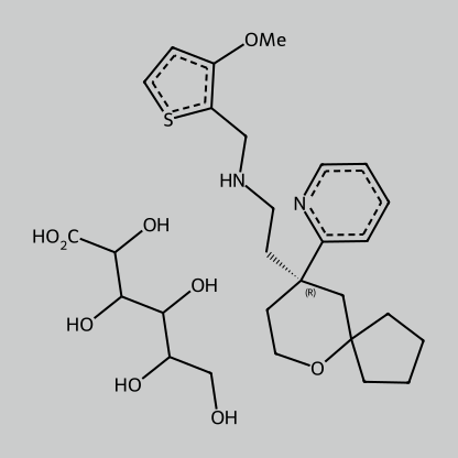 COc1ccsc1CNCC[C@@]1(c2ccccn2)CCOC2(CCCC2)C1.O=C(O)C(O)C(O)C(O)C(O)CO